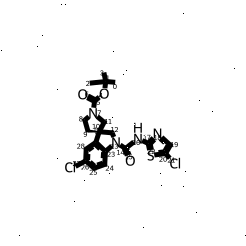 CC(C)(C)OC(=O)N1CC[C@@]2(C1)CN(C(=O)Nc1ncc(Cl)s1)c1ccc(Cl)cc12